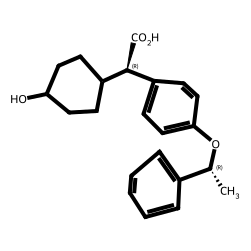 C[C@@H](Oc1ccc([C@H](C(=O)O)C2CCC(O)CC2)cc1)c1ccccc1